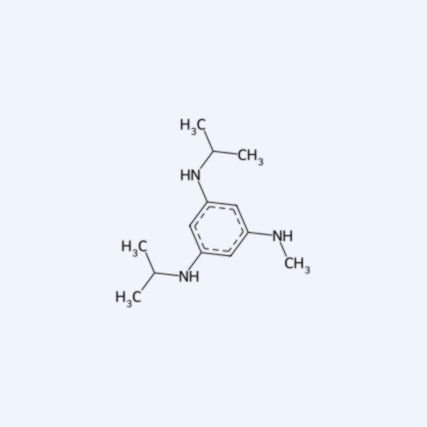 CNc1cc(NC(C)C)cc(NC(C)C)c1